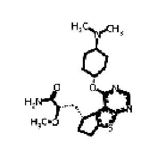 CO[C@@H](C[C@H]1CCc2sc3ncnc(O[C@H]4CC[C@H](N(C)C)CC4)c3c21)C(N)=O